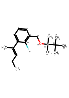 CCC=C(C)c1cccc(CO[Si](C)(C)C(C)(C)C)c1F